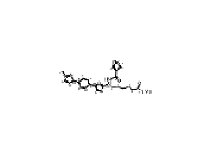 CNC(=O)CCCCC[C@H](NC(=O)c1cnsc1)c1ncc(-c2ccc(-c3ccn(C)n3)cc2)o1